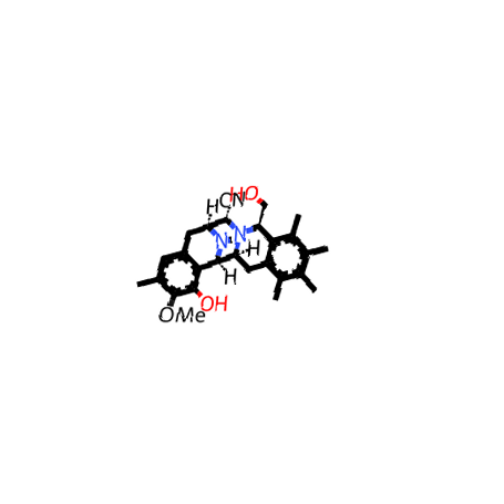 COc1c(C)cc2c(c1O)[C@@H]1[C@@H]3Cc4c(C)c(C)c(C)c(C)c4[C@H](CO)N3[C@@H](C#N)[C@H](C2)N1C